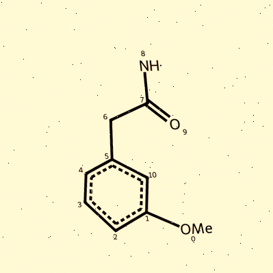 COc1cccc(CC([NH])=O)c1